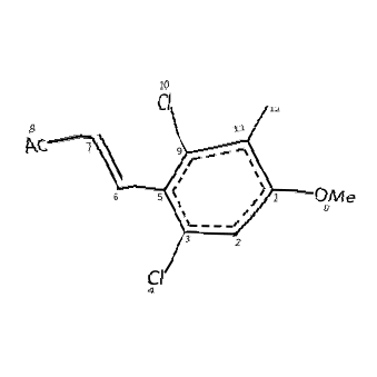 COc1cc(Cl)c(C=CC(C)=O)c(Cl)c1C